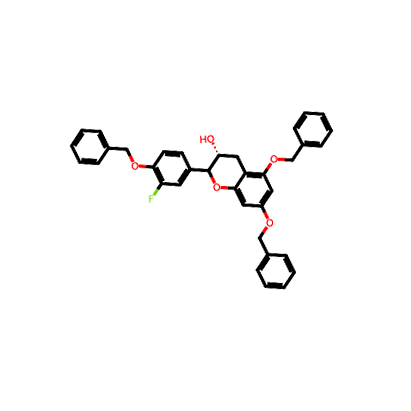 O[C@@H]1Cc2c(OCc3ccccc3)cc(OCc3ccccc3)cc2OC1c1ccc(OCc2ccccc2)c(F)c1